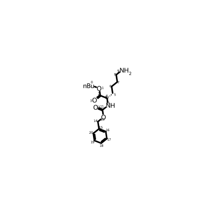 CCCCOC(=O)[C@H](CCCCN)NC(=O)OCc1ccccc1